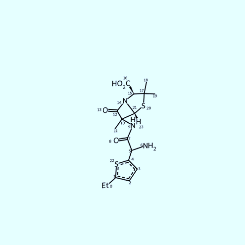 CCc1ccc(C(N)C(=O)NC2(C)C(=O)N3[C@@H](C(=O)O)C(C)(C)S[C@@H]32)s1